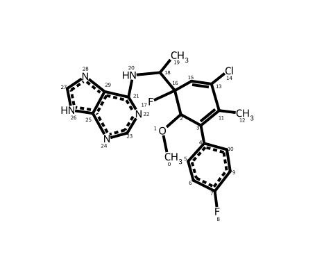 COC1C(c2ccc(F)cc2)=C(C)C(Cl)=CC1(F)C(C)Nc1ncnc2[nH]cnc12